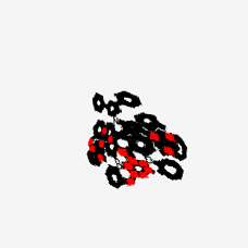 CC1=CC=CC#CC1B(c1cc(B(c2c(C)cccc2C)C2C#CC=CC=C2C)c2c(c1)C1(c3cc(-c4ccccc4)ccc3N(c3cc(-c4ccccc4)cc(-c4ccccc4)c3)c3ccc(-c4ccccc4)cc31)c1cc(B(c3c(C)cccc3C)c3c(C)cccc3C)cc(B(c3ccccc3C)c3c(C)cccc3C)c1C2=O)c1c(C)cccc1C